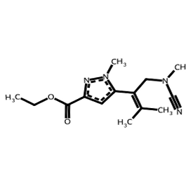 CCOC(=O)c1cc(C(CN(C)C#N)=C(C)C)n(C)n1